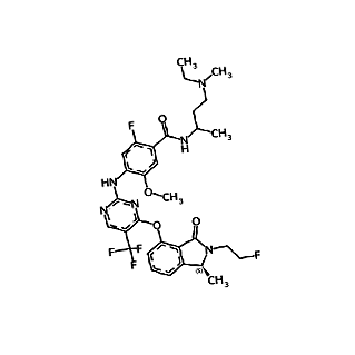 CCN(C)CCC(C)NC(=O)c1cc(OC)c(Nc2ncc(C(F)(F)F)c(Oc3cccc4c3C(=O)N(CCF)[C@H]4C)n2)cc1F